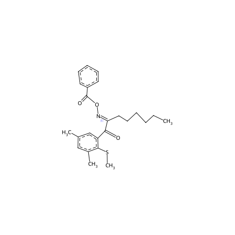 CCCCCC/C(=N\OC(=O)c1ccccc1)C(=O)c1cc(C)cc(C)c1SC